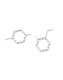 CCc1ccccc1Oc1ccc(Cl)cc1